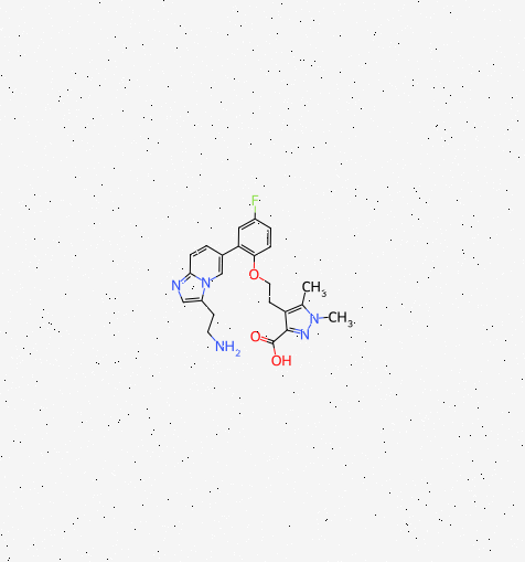 Cc1c(CCOc2ccc(F)cc2-c2ccc3ncc(CCN)n3c2)c(C(=O)O)nn1C